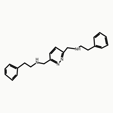 c1ccc(CCNCc2ccc(CNCCc3ccccc3)nn2)cc1